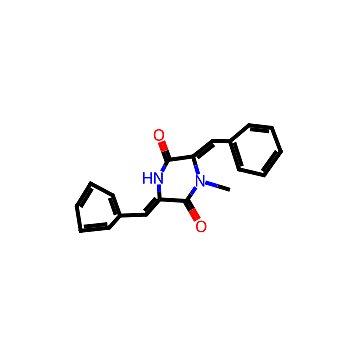 Cn1c(=O)c(=Cc2ccccc2)[nH]c(=O)c1=Cc1ccccc1